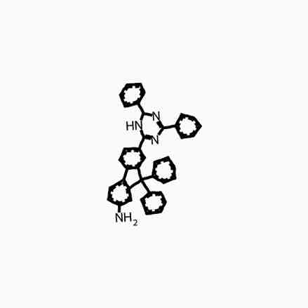 Nc1ccc2c(c1)C(c1ccccc1)(c1ccccc1)c1cc(C3=NC(c4ccccc4)=NC(c4ccccc4)N3)ccc1-2